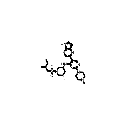 CCC(C)CS(=O)(=O)N1C[C@@H](C)C[C@H](Nc2nc(N3CCN(C)CC3)ncc2-c2cnc3[nH]ccc3n2)C1